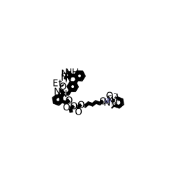 CCOc1nc2cccc(C(=O)OC(C)OC(=O)OCCCCCO/N=[N+](\[O-])N3[C@H](C)CCC[C@@H]3C)c2n1Cc1ccc(-c2ccccc2-c2nnn[nH]2)cc1